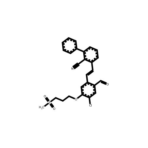 CS(=O)(=O)CCCOc1cc(/C=C/c2cccc(-c3ccccc3)c2C#N)c(C=O)cc1Cl